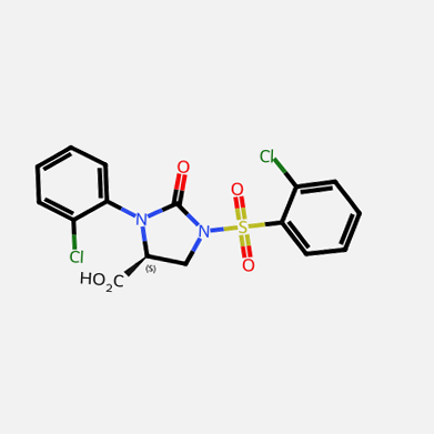 O=C(O)[C@@H]1CN(S(=O)(=O)c2ccccc2Cl)C(=O)N1c1ccccc1Cl